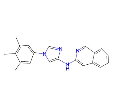 Cc1cc(-n2cnc(Nc3cc4ccccc4cn3)c2)cc(C)c1C